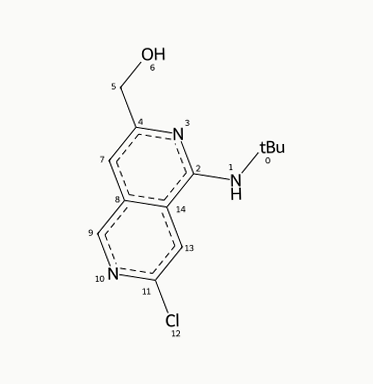 CC(C)(C)Nc1nc(CO)cc2cnc(Cl)cc12